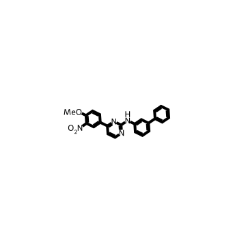 COc1ccc(-c2ccnc(Nc3cccc(-c4ccccc4)c3)n2)cc1[N+](=O)[O-]